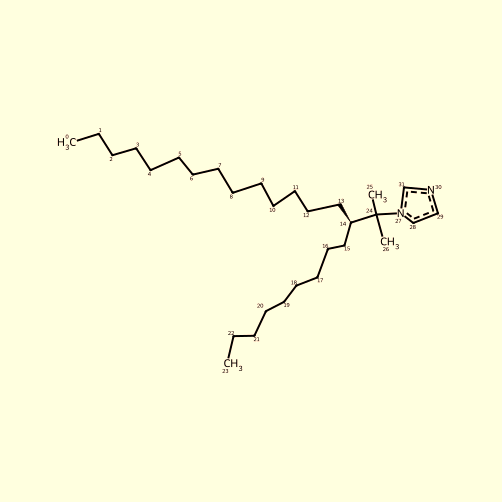 CCCCCCCCCCCCCC[C@H](CCCCCCCCC)C(C)(C)n1ccnc1